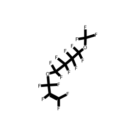 FC(F)=C(F)C(F)(F)OC(F)(F)C(F)(F)C(F)(F)C(F)(F)OC(F)(F)F